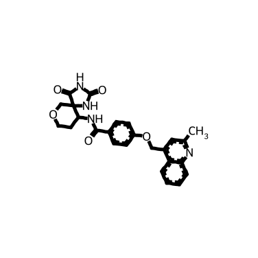 Cc1cc(COc2ccc(C(=O)NC3CCOCC34NC(=O)NC4=O)cc2)c2ccccc2n1